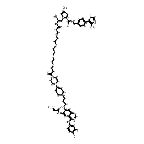 C=CC(=O)Nc1cc2c(Nc3ccc(F)c(Cl)c3)ncnc2cc1OCCCN1CCC(N2CCN(C(=O)CCOCCOCCOCCOCCC(=O)N[C@H](CN3C[C@H](O)C[C@H]3C(=O)NCc3ccc(-c4scnc4C)cc3)C(C)(C)C)CC2)CC1